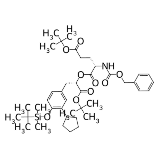 CC(C)(C)OC(=O)CC[C@H](NC(=O)OCc1ccccc1)C(=O)O[C@@H](Cc1ccc(O[Si](C)(C)C(C)(C)C)c(C2CCCC2)c1)C(=O)OC(C)(C)C